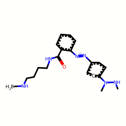 BNCCCCNC(=O)c1ccccc1/N=N/c1ccc(N(C)NC)cc1